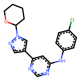 Clc1ccc(Nc2cc(-c3cnn(C4CCCCO4)c3)ncn2)cc1